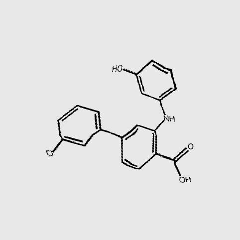 O=C(O)c1ccc(-c2cccc(Cl)c2)cc1Nc1cccc(O)c1